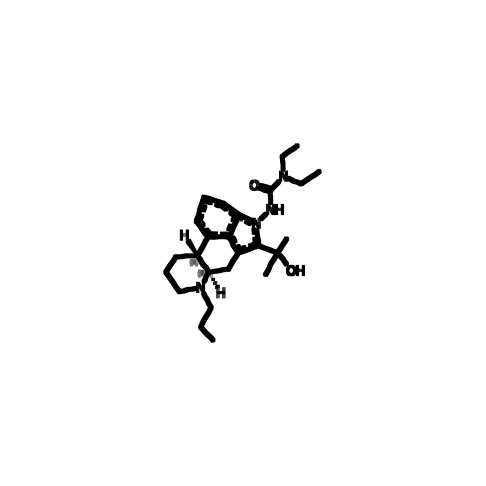 CCCN1CCC[C@@H]2c3cccc4c3c(c(C(C)(C)O)n4NC(=O)N(CC)CC)C[C@H]21